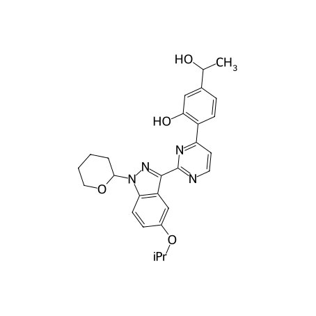 CC(C)Oc1ccc2c(c1)c(-c1nccc(-c3ccc(C(C)O)cc3O)n1)nn2C1CCCCO1